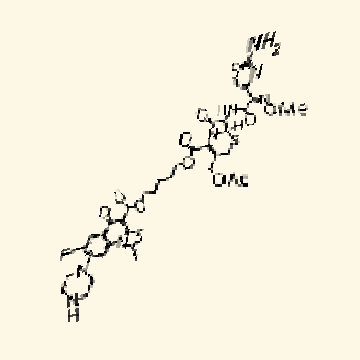 CO/N=C(\C(=O)N[C@@H]1C(=O)N2C(C(=O)OCCCCCOC(=O)c3c4n(c5cc(N6CCNCC6)c(F)cc5c3=O)C(C)S4)=C(COC(C)=O)CS[C@H]12)c1csc(N)n1